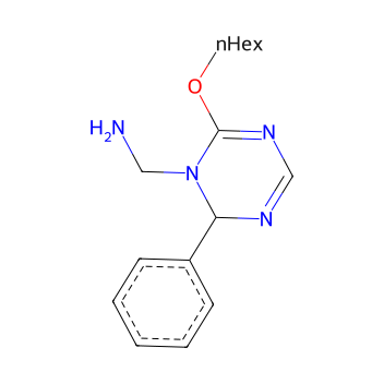 CCCCCCOC1=NC=NC(c2ccccc2)N1CN